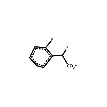 O=C(O)C(F)c1ccccc1F